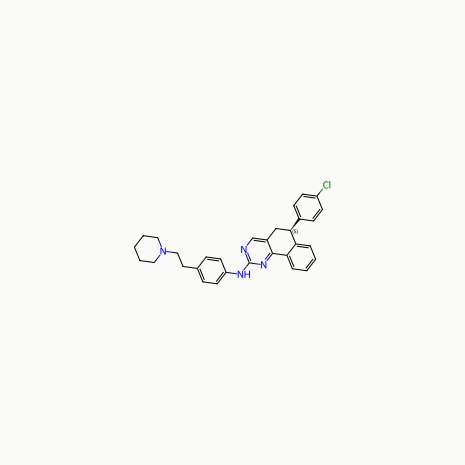 Clc1ccc([C@@H]2Cc3cnc(Nc4ccc(CCN5CCCCC5)cc4)nc3-c3ccccc32)cc1